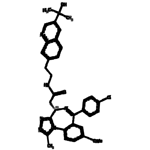 COc1ccc2c(c1)C(c1ccc(Cl)cc1)=N[C@@H](CC(=O)NCCc1ccc3cc([Si](C)(C)O)cnc3c1)c1nnc(C)n1-2